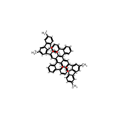 Cc1ccc2c(c1)c1cc(C)cc3c4cc5c(-c6ccccc6-c6ccccc6)c6cc7c(cc6c(-c6ccccc6-c6ccccc6)c5cc4n2c13)c1cc(C)cc2c3cc(C)ccc3n7c21